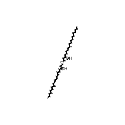 CCCCCCCCCCCCCCCCCC(O)CCOCCC(O)CCCCCCCCCCCCCCCCC